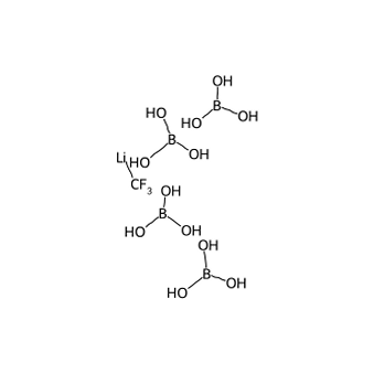 OB(O)O.OB(O)O.OB(O)O.OB(O)O.[Li][C](F)(F)F